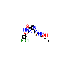 CC(O)CNc1nc(-c2nccc3c(=O)[nH]c(COc4ccc(F)c(Cl)c4)nc23)cs1